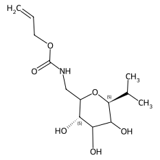 C=CCOC(=O)NCC1O[C@@H](C(C)C)C(O)C(O)[C@@H]1O